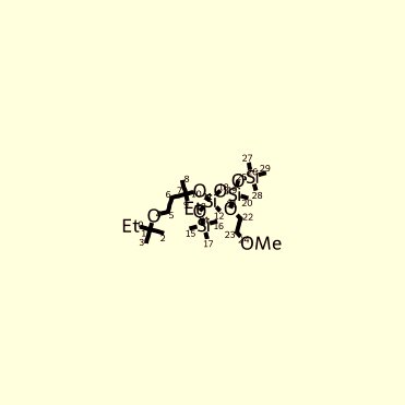 CCC(C)(C)OCCC(C)(CC)O[Si](C)(O[Si](C)(C)C)O[Si](C)(OCCOC)O[Si](C)(C)C